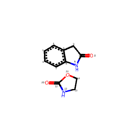 O=C1Cc2ccccc2N1.O=C1NCCO1